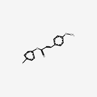 COc1ccc(C=CC(=O)Oc2ccc(I)cc2)cc1